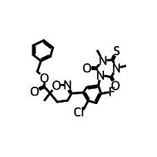 Cn1c(=S)n(C)c(=O)n(-c2cc(C3=NOC(C)(C(=O)OCc4ccccc4)CC3)c(Cl)cc2F)c1=O